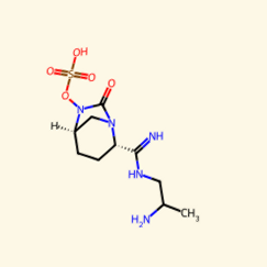 CC(N)CNC(=N)[C@@H]1CC[C@@H]2CN1C(=O)N2OS(=O)(=O)O